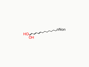 CCCCCCCCCCCCCCCCC=CC=CC=C(O)O